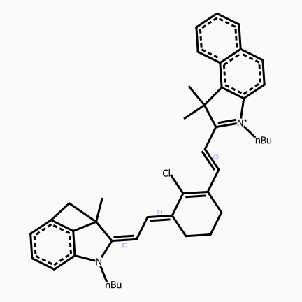 CCCCN1/C(=C/C=C2\CCCC(/C=C/C3=[N+](CCCC)c4ccc5ccccc5c4C3(C)C)=C2Cl)C2(C)Cc3cccc1c32